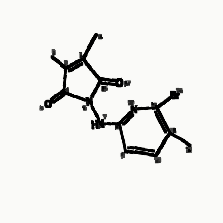 CC1=C(C)C(=O)N(Nc2ccc(C)c(Br)n2)C1=O